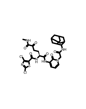 CNC(=O)C(=O)CC[C@H](NC(=O)c1sc(Cl)nc1Cl)C(=O)Nc1cccn(CC(=O)NC2C3CC4CC(C3)CC2C4)c1=O